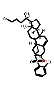 CCc1ccccc1S(=O)(=O)OC[C@]12CC[C@H](O)CC1=CC[C@@H]1[C@@H]2CC[C@]2(C)[C@@H]([C@H](C)CCCC(C)C)CC[C@@H]12